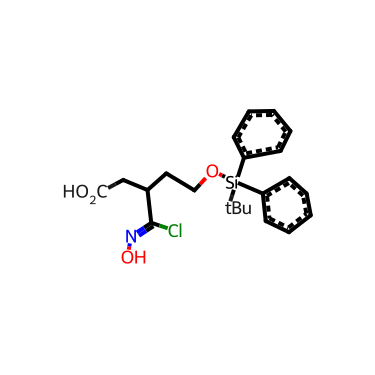 CC(C)(C)[Si](OCCC(CC(=O)O)C(Cl)=NO)(c1ccccc1)c1ccccc1